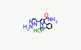 Cl.NC(=O)c1cc(-c2ccnc(N)n2)[nH]c1-c1ccccc1Cl